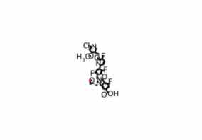 COc1cc(Cl)ncc1COc1nc(-c2cc(F)c(Cn3c(=O)c4c(F)cc(C(=O)O)cc4n3C[C@@H]3CCO3)cc2F)ccc1F